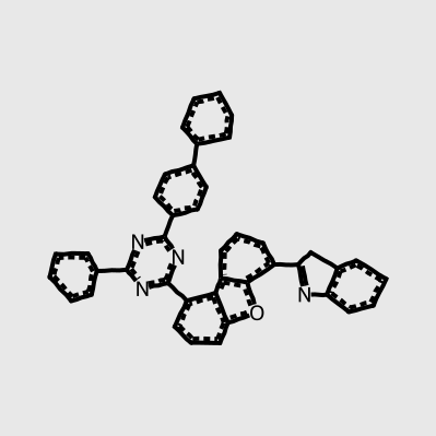 c1ccc(-c2ccc(-c3nc(-c4ccccc4)nc(-c4cccc5oc6c(C7=Nc8ccccc8C7)cccc6c45)n3)cc2)cc1